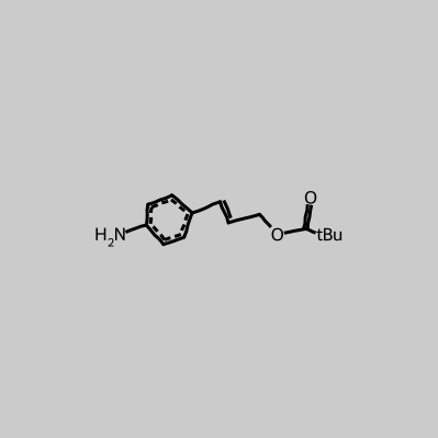 CC(C)(C)C(=O)OC/C=C/c1ccc(N)cc1